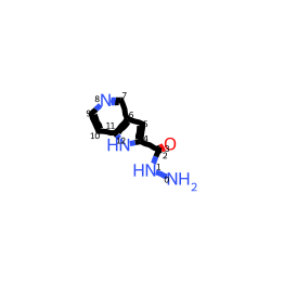 NNC(=O)c1cc2cnccc2[nH]1